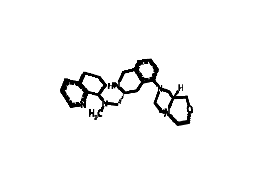 CN(C[C@H]1Cc2c(cccc2N2CCN3CCOC[C@H]3C2)CN1)C1CCCc2cccnc21